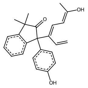 C=C/C(=C\C=C(/C)O)C1(c2ccc(O)cc2)C(=O)C(C)(C)c2ccccc21